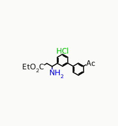 CCOC(=O)CC(N)c1cccc(-c2cccc(C(C)=O)c2)c1.Cl